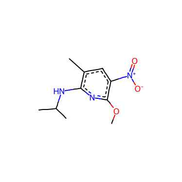 COc1nc(NC(C)C)c(C)cc1[N+](=O)[O-]